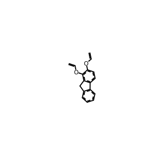 C=COc1ccc2c(c1OC=C)Cc1ccccc1-2